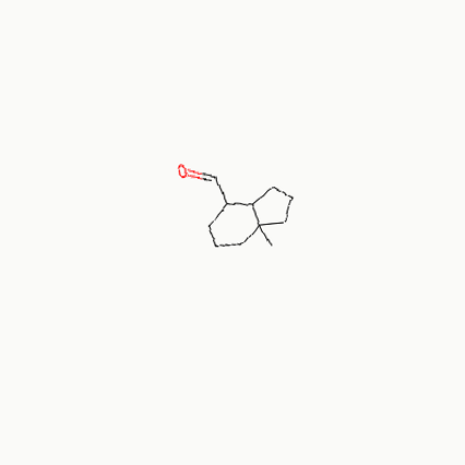 CC12CCCC(C=O)C1CCC2